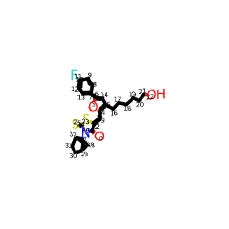 O=C1/C(=C/c2oc(-c3ccc(F)cc3)cc2CCCCCCO)SC(=S)N1C1CC2CCC1C2